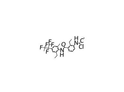 C=C=C(Cl)Nc1cccc(C(=O)Nc2c(C)cc(C(F)(C(C)(C)F)C(F)(F)F)cc2CC)c1CC